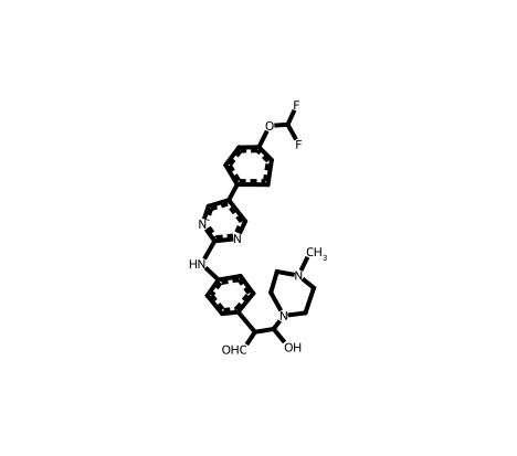 CN1CCN(C(O)C(C=O)c2ccc(Nc3ncc(-c4ccc(OC(F)F)cc4)cn3)cc2)CC1